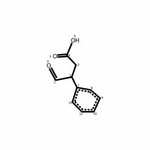 O=[C]C(CC(=O)O)c1ccccc1